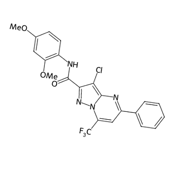 COc1ccc(NC(=O)c2nn3c(C(F)(F)F)cc(-c4ccccc4)nc3c2Cl)c(OC)c1